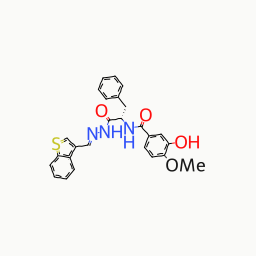 COc1ccc(C(=O)N[C@@H](Cc2ccccc2)C(=O)N/N=C/c2csc3ccccc23)cc1O